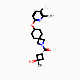 COc1nc(OC2CCC3(CC2)CN(C(=O)[C@H]2C[C@@](C)(O)C2)C3)ccc1C(F)(F)F